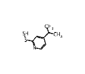 CC(C)c1ccnc(SS)c1